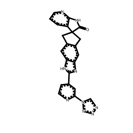 O=C1Nc2ncccc2C12Cc1cc3nc(-c4ccnc(-n5cnnn5)c4)[nH]c3cc1C2